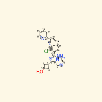 N[N+]12C=CN=CC1=C(C1CC(O)C1)N=C2c1ccc2ccc(-c3ccccn3)nc2c1Cl